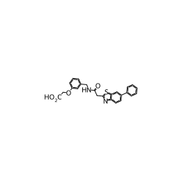 O=C(O)COc1cccc(CNC(=O)Cc2nc3ccc(-c4ccccc4)cc3s2)c1